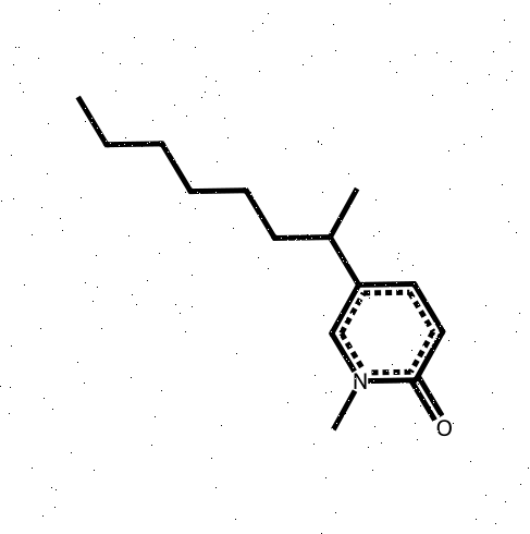 CCCCCCC(C)c1ccc(=O)n(C)c1